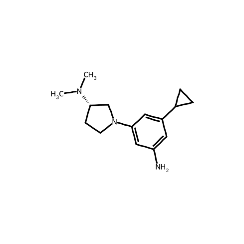 CN(C)[C@H]1CCN(c2cc(N)cc(C3CC3)c2)C1